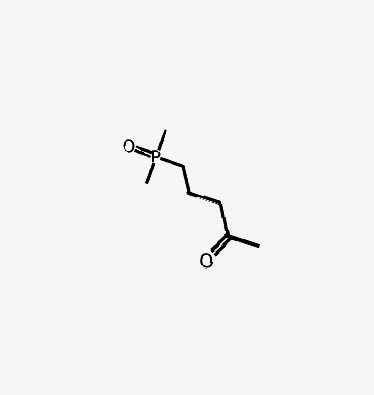 CC(=O)CCCP(C)(C)=O